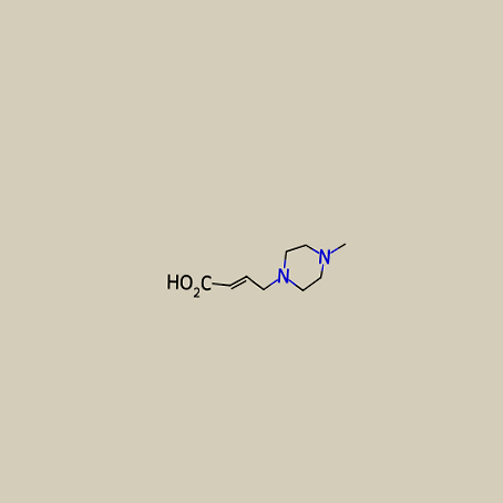 CN1CCN(CC=CC(=O)O)CC1